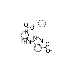 COC(=O)c1cccc2c(N[C@@H]3CN(C(=O)OCc4ccccc4)CC[C@H]3C)ncnc12